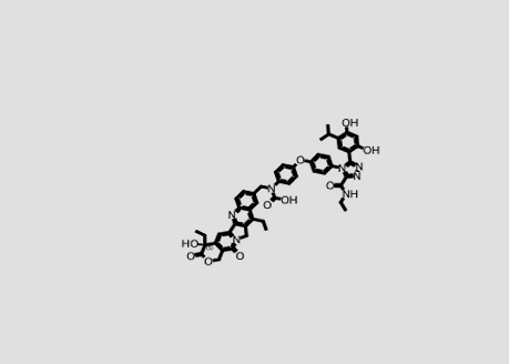 CCNC(=O)c1nnc(-c2cc(C(C)C)c(O)cc2O)n1-c1ccc(Oc2ccc(N(Cc3ccc4nc5c(c(CC)c4c3)Cn3c-5cc4c(c3=O)COC(=O)[C@]4(O)CC)C(=O)O)cc2)cc1